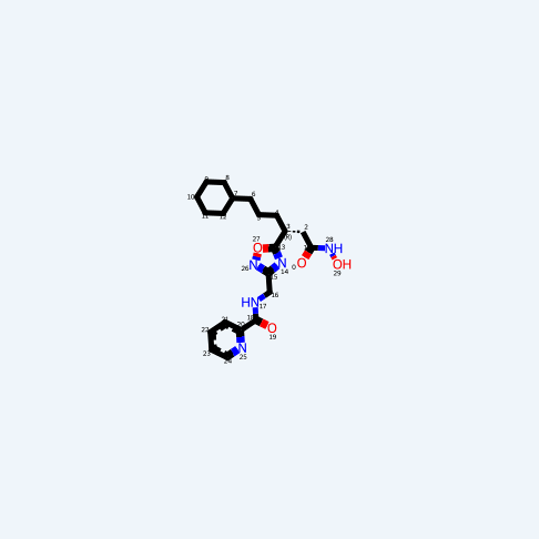 O=C(C[C@@H](CCCC1CCCCC1)c1nc(CNC(=O)c2ccccn2)no1)NO